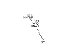 CC(=O)CCCCCCCCC(=O)NC(CCCNC(=N)N)C(=O)O